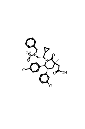 C[C@]1(CC(=O)O)C[C@H](c2cccc(Cl)c2)[C@@H](c2ccc(Cl)cc2)N([C@H](CN(Cc2ccccc2)[SH](=O)=O)C2CC2)C1=O